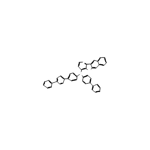 c1ccc(-c2ccc(-c3ccc(N(c4ccc(-c5ccccc5)cc4)c4ccnc5c4oc4cc6ccccc6cc45)cc3)cc2)cc1